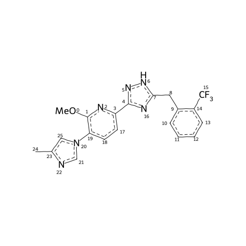 COc1nc(-c2n[nH]c(Cc3ccccc3C(F)(F)F)n2)ccc1-n1cnc(C)c1